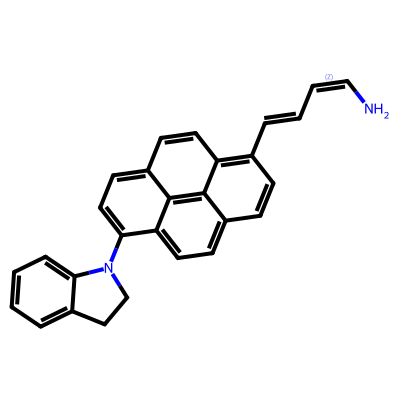 N/C=C\C=Cc1ccc2ccc3c(N4CCc5ccccc54)ccc4ccc1c2c43